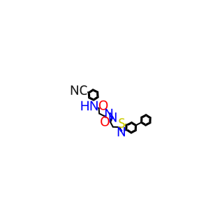 N#Cc1cccc(NC(=O)Cc2nnc(Cc3nc4ccc(-c5ccccc5)cc4s3)o2)c1